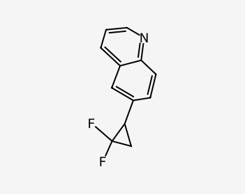 FC1(F)CC1c1ccc2ncccc2c1